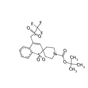 CC(C)(C)OC(=O)N1CCC2(C=C(CS(=O)(=O)C(F)(F)F)c3ccccc3S2(=O)=O)CC1